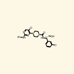 CC(C)Nc1ncc(Cl)c(N2CCN(C(=O)N[C@H](CO)c3cccc(Cl)c3)CC2)n1